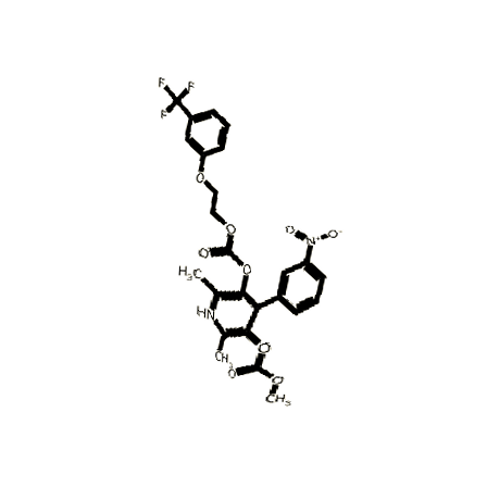 COC(=O)OC1=C(C)NC(C)=C(OC(=O)OCCOc2cccc(C(F)(F)F)c2)C1c1cccc([N+](=O)[O-])c1